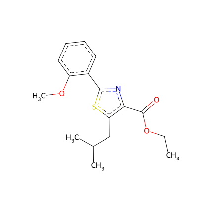 CCOC(=O)c1nc(-c2ccccc2OC)sc1CC(C)C